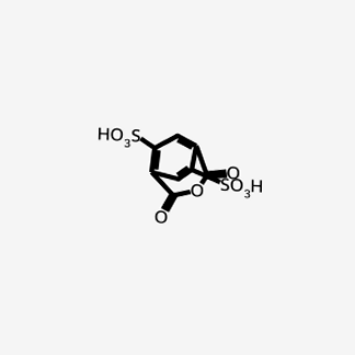 O=c1oc(=O)c2cc(S(=O)(=O)O)c1cc2S(=O)(=O)O